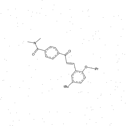 CC(C)Oc1ccc(C(C)(C)C)cc1C=CC(=O)c1ccc(C(=O)N(C)C)cc1